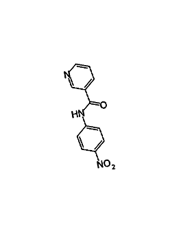 O=C(Nc1ccc([N+](=O)[O-])cc1)c1cccnc1